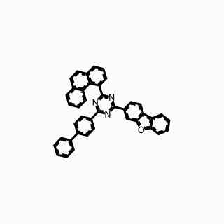 c1ccc(-c2ccc(-c3nc(-c4ccc5c(c4)oc4ccccc45)nc(-c4cccc5ccc6ccccc6c45)n3)cc2)cc1